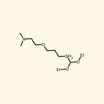 CCOC(OCC)[SiH2]CCCOCCN(C)C